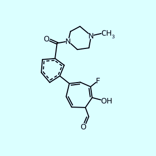 CN1CCN(C(=O)c2cccc(C3=CC(F)=C(O)C(C=O)C=C3)c2)CC1